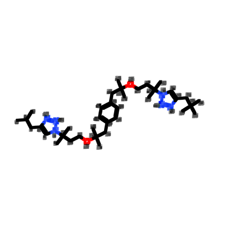 CC(C)Cc1cn(C(C)(C)CCOC(C)(C)Cc2ccc(CC(C)(C)OCCC(C)(C)n3cc(CC(C)(C)C)nn3)cc2)nn1